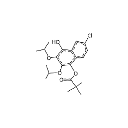 CC(C)Oc1c(OC(C)C)c(OC(=O)C(C)(C)C)c2ccc(Cl)cc2c1O